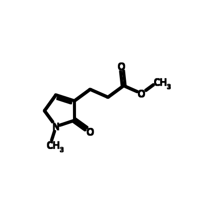 COC(=O)CCC1=CCN(C)C1=O